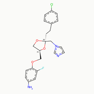 Nc1ccc(OC[C@H]2CO[C@@](CCc3ccc(Cl)cc3)(Cn3ccnc3)O2)c(F)c1